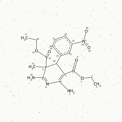 CCOC(=O)C1=C(N)N=C(N)C(C)(C(=O)OCC)C1c1cccc([N+](=O)[O-])c1